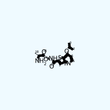 CC(C)Oc1ccnc2cc(C(=O)NOC(=O)[C@@H](C)N)sc12